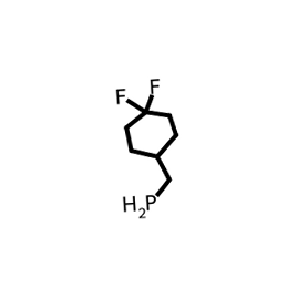 FC1(F)CCC(CP)CC1